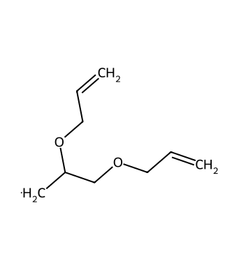 [CH2]C(COCC=C)OCC=C